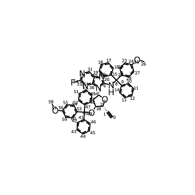 C#C[C@H]1O[C@@H](n2c(NC(c3ccccc3)(c3ccccc3)c3ccc(OC)cc3)nc3cnc(F)nc32)C[C@@H]1OC(c1ccccc1)(c1ccccc1)c1ccc(OC)cc1